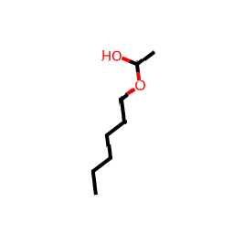 CCCCCCO[C](C)O